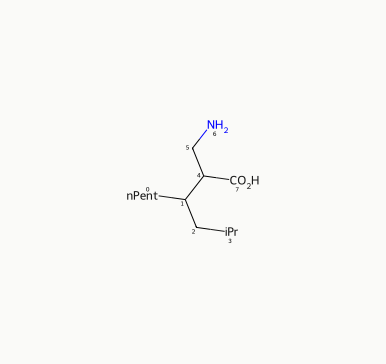 CCCCCC(CC(C)C)C(CN)C(=O)O